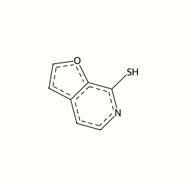 Sc1nccc2ccoc12